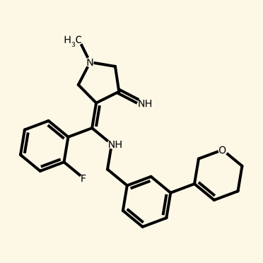 CN1CC(=N)/C(=C(\NCc2cccc(C3=CCCOC3)c2)c2ccccc2F)C1